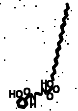 CCC=CCC=CCC=CCC=CCC=CCCCCOC(OC)C(=O)NCCNC(=O)c1ccccc1O